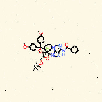 COc1ccc(C(O[C@H]2[C@@H](F)[C@H](n3cnc4c(NC(=O)c5ccccc5)ncnc43)O[C@@H]2CO[Si](C)(C)C(C)(C)C)(c2ccccc2)c2ccc(OC)cc2)cc1